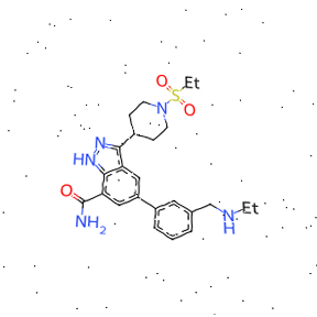 CCNCc1cccc(-c2cc(C(N)=O)c3[nH]nc(C4CCN(S(=O)(=O)CC)CC4)c3c2)c1